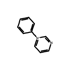 c1ccc(-[n+]2cccnc2)cc1